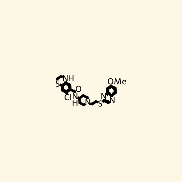 COc1ccc2ncc(SCCN3CCC(NC(=O)c4cc5c(cc4Cl)SCCN5)CC3)nc2c1